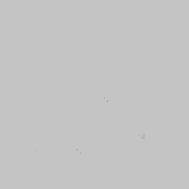 NCC1C=C(NC(=O)O)CCN1Cc1ccccc1